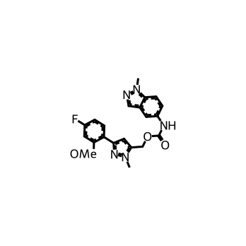 COc1cc(F)ccc1-c1cc(COC(=O)Nc2ccc3c(cnn3C)c2)n(C)n1